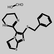 O=CO.c1ccc(CSc2nc3sccn3c2C2=NCCCN2)cc1